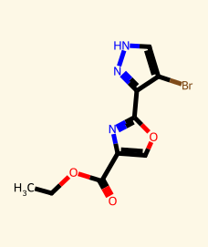 CCOC(=O)c1coc(-c2n[nH]cc2Br)n1